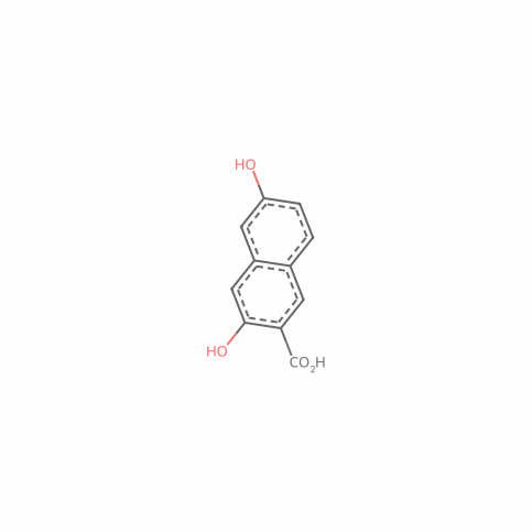 O=C(O)c1cc2ccc(O)cc2cc1O